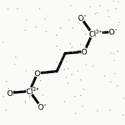 [O-][Cl+2]([O-])OCCO[Cl+2]([O-])[O-]